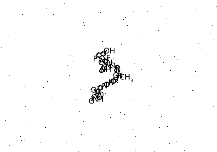 C#Cc1c(F)ccc2cc(O)cc(-c3ncc4c(N5CC6CCC(C5)N6)nc(OC[C@]56CCCN5[C@H](CN(C)C(=O)CN5CCN(C7CCN(c8ccc9c(c8)C(=O)N(C8CCC(=O)NC8=O)C9=O)CC7)CC5)CC6)nc4c3F)c12